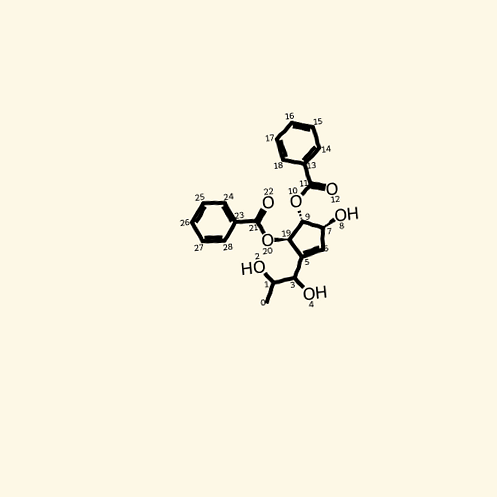 CC(O)C(O)C1=C[C@H](O)[C@@H](OC(=O)c2ccccc2)[C@@H]1OC(=O)c1ccccc1